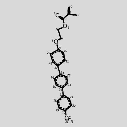 C=C(C)C(=O)OCCOc1ccc(-c2ccc(-c3ccc(C(F)(F)F)cc3)cc2)cc1